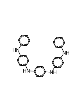 c1ccc(Nc2ccc(Nc3ccc(Nc4ccc(Nc5ccccc5)cc4)cc3)cc2)cc1